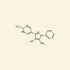 CC1N=CC(c2nn(-c3ccccc3)c(N)c2S)=CN1